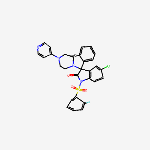 COc1ccccc1C1(N2CCN(c3ccncc3)CC2)C(=O)N(S(=O)(=O)c2ccccc2F)c2ccc(Cl)cc21